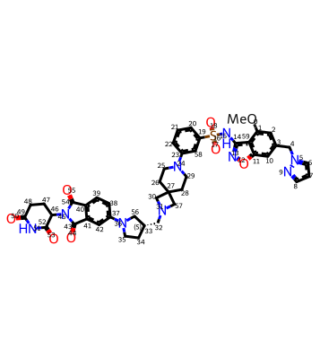 COc1cc(Cn2cccn2)cc2onc(NS(=O)(=O)c3cccc(N4CCC5(CC4)CN(C[C@@H]4CCN(c6ccc7c(c6)C(=O)N(C6CCC(=O)NC6=O)C7=O)C4)C5)c3)c12